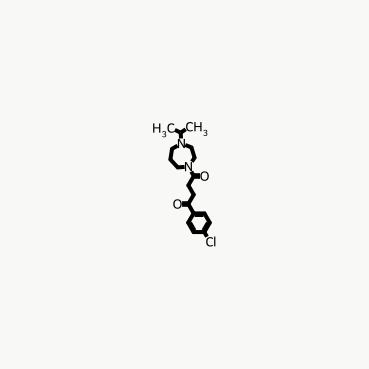 CC(C)N1CCCN(C(=O)CCC(=O)c2ccc(Cl)cc2)CC1